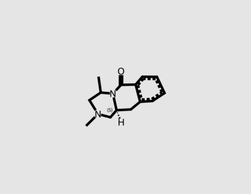 CC1CN(C)C[C@@H]2Cc3ccccc3C(=O)N12